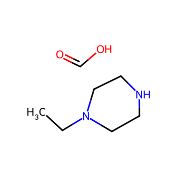 CCN1CCNCC1.O=CO